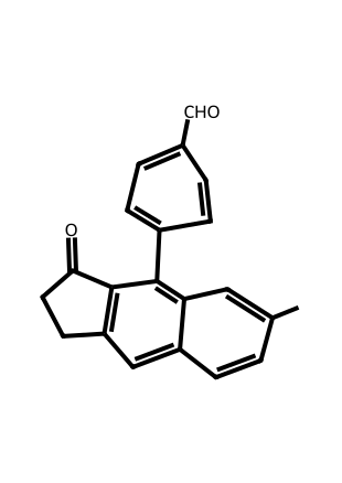 Cc1ccc2cc3c(c(-c4ccc(C=O)cc4)c2c1)C(=O)CC3